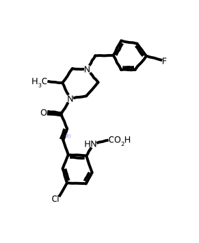 CC1CN(Cc2ccc(F)cc2)CCN1C(=O)/C=C/c1cc(Cl)ccc1NC(=O)O